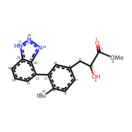 COC(=O)C(O)Cc1ccc(C(C)(C)C)c(-c2cccc3[nH]nnc23)c1